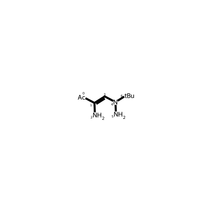 CC(=O)/C(N)=C/N(N)C(C)(C)C